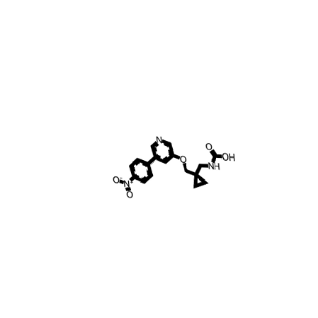 O=C(O)NCC1(COc2cncc(-c3ccc([N+](=O)[O-])cc3)c2)CC1